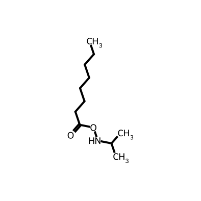 CCCCCCCC(=O)ONC(C)C